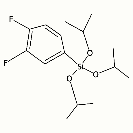 CC(C)O[Si](OC(C)C)(OC(C)C)c1ccc(F)c(F)c1